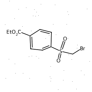 CCOC(=O)c1ccc(S(=O)(=O)CBr)cc1